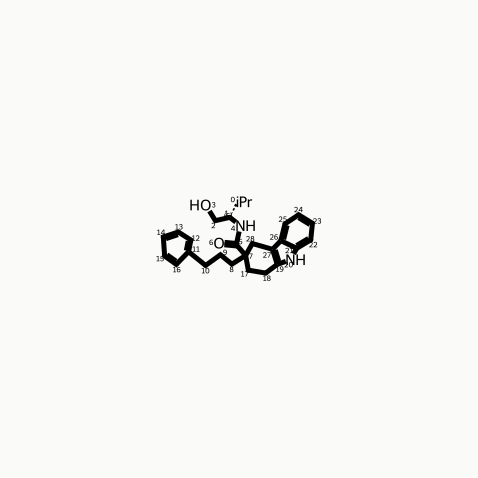 CC(C)[C@@H](CO)NC(=O)C1(CCCc2ccccc2)CCc2[nH]c3ccccc3c2C1